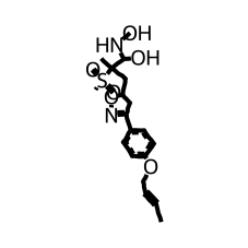 CC#CCOc1ccc(C2=NOC(CC(C)(C(O)NO)S(C)(=O)=O)C2)cc1